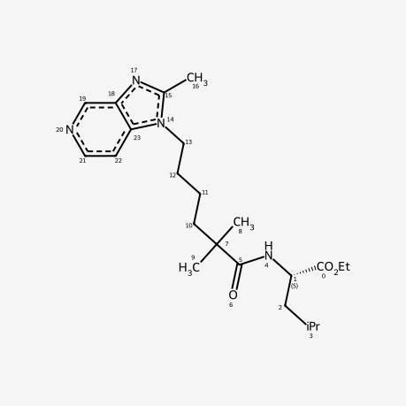 CCOC(=O)[C@H](CC(C)C)NC(=O)C(C)(C)CCCCn1c(C)nc2cnccc21